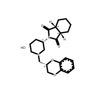 Cl.O=C1[C@H]2CCCC[C@H]2C(=O)N1[C@H]1CCCN(C[C@H]2COc3ccccc3O2)C1